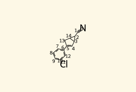 N#CC1C2C=C(c3cccc(Cl)c3)CC12